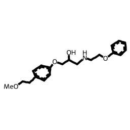 COCCc1ccc(OCC(O)CNCCOc2ccccc2)cc1